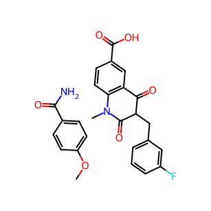 CN1C(=O)C(Cc2cccc(F)c2)C(=O)c2cc(C(=O)O)ccc21.COc1ccc(C(N)=O)cc1